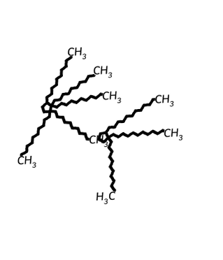 CCCCCCCCCCCC1CCC(CCCCCCCCCCC)(CCCCCCCCCCC)C1(CCCCCCCCCCC)CCCCCCCCCCC.CCCCCCCCCCCCC1CCCC1(CCCCCCCCCCCC)CCCCCCCCCCCC